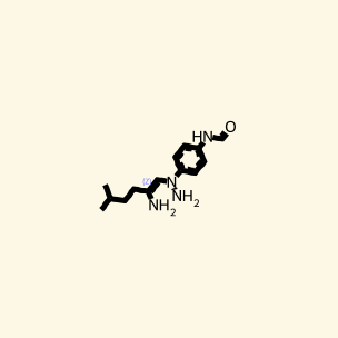 CC(C)CC/C(N)=C/N(N)c1ccc(NC=O)cc1